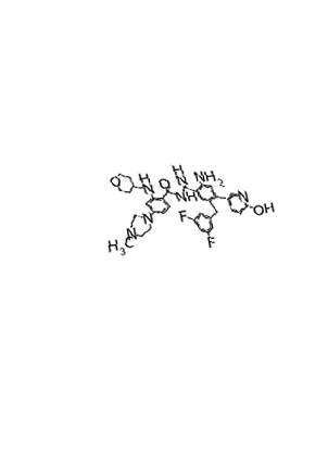 CN1CCN(c2ccc(C(=O)NC(=N)c3cc(Cc4cc(F)cc(F)c4)c(-c4ccc(O)nc4)cc3N)c(NC3CCOCC3)c2)CC1